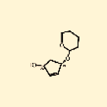 O[C@@H]1C=C[C@H](OC2CCCCO2)C1